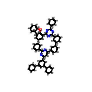 c1ccc(-c2cc(-c3ccccc3)cc(-c3cc(-c4cccc(-c5cccc(-c6nc(-c7ccccc7)nc(-c7cccc8c7oc7ccccc78)n6)c5)c4)nc(-c4ccccc4)n3)c2)cc1